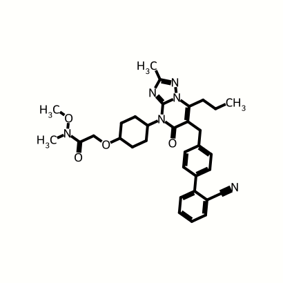 CCCc1c(Cc2ccc(-c3ccccc3C#N)cc2)c(=O)n(C2CCC(OCC(=O)N(C)OC)CC2)c2nc(C)nn12